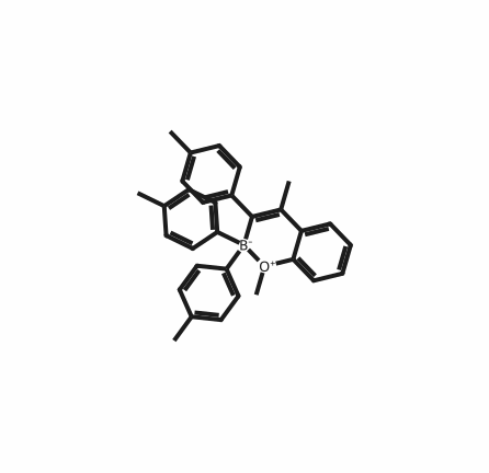 CC1=C(c2ccc(C)cc2)[B-](c2ccc(C)cc2)(c2ccc(C)cc2)[O+](C)c2ccccc21